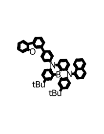 CC(C)(C)c1ccc2c(c1)B1c3cc(C(C)(C)C)ccc3N(c3cccc4ccccc34)c3cccc(c31)N2c1ccc(-c2cccc3c2oc2ccccc23)cc1